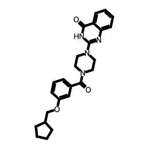 O=C(c1cccc(OCC2CCCC2)c1)N1CCN(c2nc3ccccc3c(=O)[nH]2)CC1